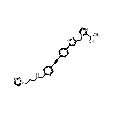 C[C@H](O)c1nccn1Cc1cc(-c2ccc(C#Cc3ccc(CNCCCn4ccnn4)nc3)cc2)on1